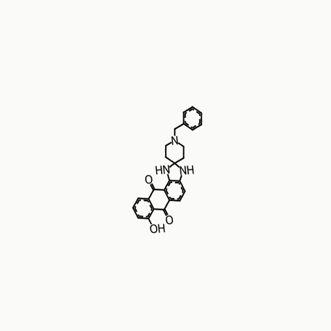 O=C1c2ccc3c(c2C(=O)c2cccc(O)c21)NC1(CCN(Cc2ccccc2)CC1)N3